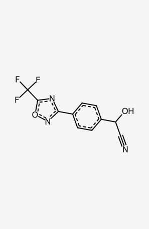 N#CC(O)c1ccc(-c2noc(C(F)(F)F)n2)cc1